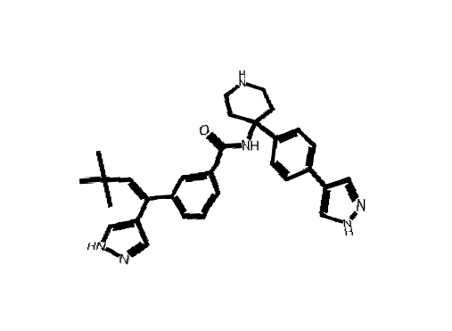 CC(C)(C)C=C(c1cn[nH]c1)c1cccc(C(=O)NC2(c3ccc(-c4cn[nH]c4)cc3)CCNCC2)c1